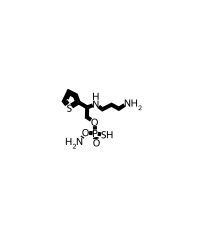 NCCCNC(COP(=O)(S)ON)c1cccs1